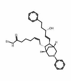 CCNC(=O)CCC/C=C\C[C@H]1[C@H]2CB(c3ccccc3)C[C@H](C2)[C@@H]1/C=C/[C@@H](O)CCc1ccccc1